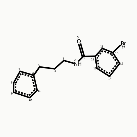 O=C(NCCCc1ccccc1)c1cccc(Br)c1